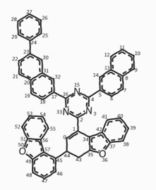 C1=C(c2nc(-c3ccc4ccccc4c3)nc(-c3ccc4ccc(-c5ccccc5)cc4c3)n2)c2c(oc3ccccc23)CC1c1cccc2oc3ccccc3c12